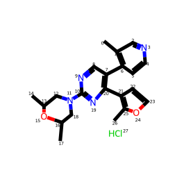 Cc1cnccc1-c1cnc(N2CC(C)OC(C)C2)nc1-c1ccoc1C.Cl